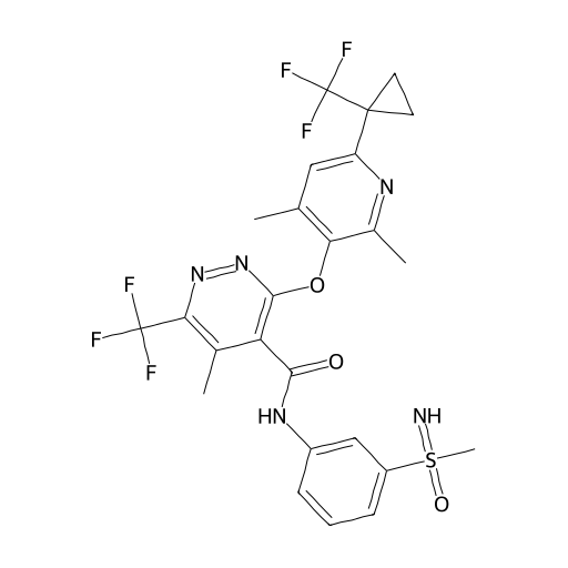 Cc1cc(C2(C(F)(F)F)CC2)nc(C)c1Oc1nnc(C(F)(F)F)c(C)c1C(=O)Nc1cccc(S(C)(=N)=O)c1